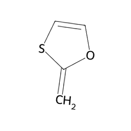 C=C1OC=CS1